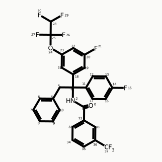 O=C(NC(Cc1ccccc1)(c1ccc(F)cc1)c1cc(F)cc(OC(F)(F)C(F)F)c1)c1cccc(C(F)(F)F)c1